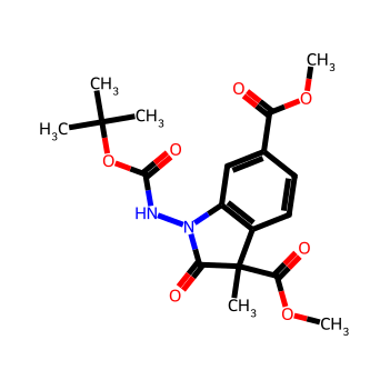 COC(=O)c1ccc2c(c1)N(NC(=O)OC(C)(C)C)C(=O)C2(C)C(=O)OC